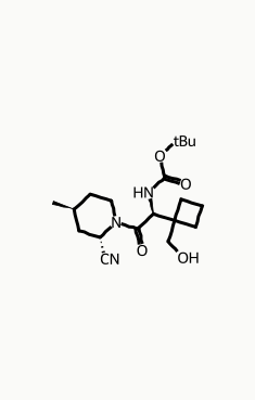 C[C@H]1CCN(C(=O)[C@@H](NC(=O)OC(C)(C)C)C2(CO)CCC2)[C@H](C#N)C1